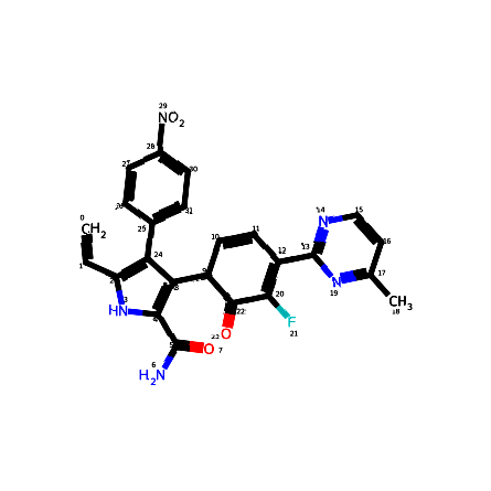 C=Cc1[nH]c(C(N)=O)c(C2C=CC(c3nccc(C)n3)=C(F)C2=O)c1-c1ccc([N+](=O)[O-])cc1